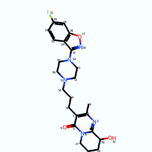 Cc1nc2n(c(=O)c1CCCN1CCN(c3noc4cc(F)ccc34)CC1)CCCC2O